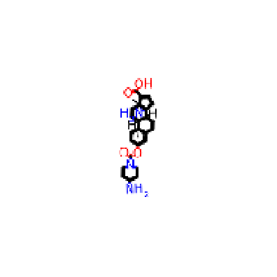 C[C@]12CCC(OC(=O)N3CCC(N)CC3)CC1CC[C@@H]1[C@H]2CC[C@]2(C)C(C(=O)O)CC[C@@]12N